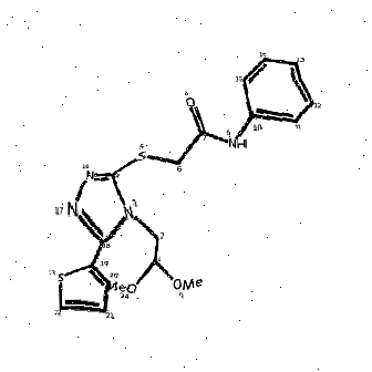 COC(Cn1c(SCC(=O)Nc2ccccc2)nnc1-c1cccs1)OC